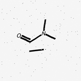 CN(C)[C]=O.[CH2]C